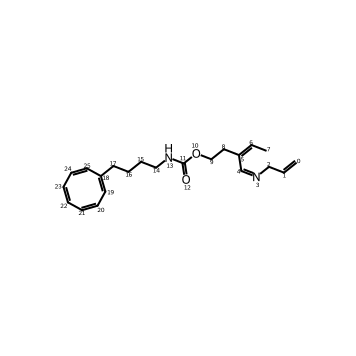 C=CC/N=C\C(=C/C)CCOC(=O)NCCCCC1=C/C=C\C=C/C=C\1